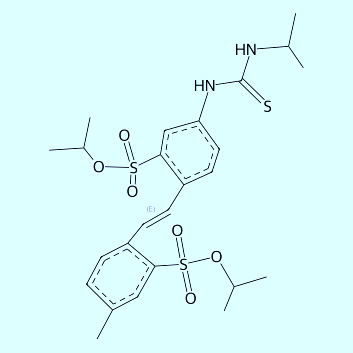 Cc1ccc(/C=C/c2ccc(NC(=S)NC(C)C)cc2S(=O)(=O)OC(C)C)c(S(=O)(=O)OC(C)C)c1